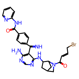 N=C(c1ccc(C(=O)Nc2ccccn2)cc1)c1c(N)ncnc1NC1CC2CC1N(C(=O)/C=C/CBr)C2